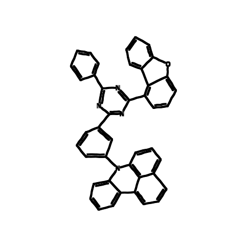 c1ccc(-c2nc(-c3cccc(N4c5ccccc5-c5cccc6cccc4c56)c3)nc(-c3cccc4oc5ccccc5c34)n2)cc1